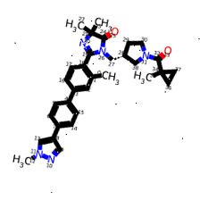 Cc1cc(-c2ccc(-c3cnn(C)c3)cc2)ccc1C1=NC(C)(C)C(=O)N1C[C@@H]1CCN(C(=O)C2(C)CC2)C1